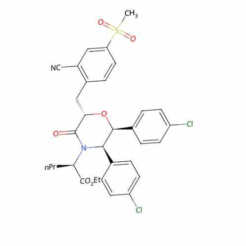 CCC[C@H](C(=O)OCC)N1C(=O)[C@H](Cc2ccc(S(C)(=O)=O)cc2C#N)O[C@@H](c2ccc(Cl)cc2)[C@H]1c1ccc(Cl)cc1